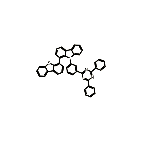 c1ccc(-c2nc(-c3ccccc3)nc(-c3cccc(-n4c5ccccc5c5cccc(-c6cccc7c6sc6ccccc67)c54)c3)n2)cc1